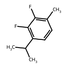 Cc1ccc(C(C)C)c(F)c1F